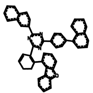 C1=CC(c2nc(-c3ccc(-c4cccc5ccccc45)cc3)nc(-c3ccc4ccccc4c3)n2)=C(c2cccc3oc4ccccc4c23)CC1